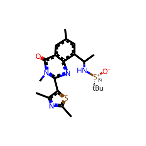 Cc1cc(C(C)N[S@+]([O-])C(C)(C)C)c2nc(-c3sc(C)nc3C)n(C)c(=O)c2c1